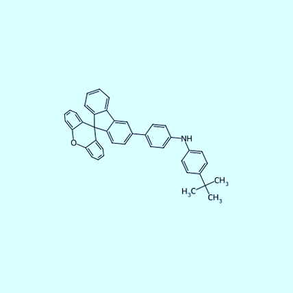 CC(C)(C)c1ccc(Nc2ccc(-c3ccc4c(c3)-c3ccccc3C43c4ccccc4Oc4ccccc43)cc2)cc1